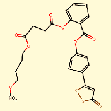 O=C(CCC(=O)Oc1ccccc1C(=O)Oc1ccc(-c2cc(=S)ss2)cc1)OCCCCO[N+](=O)[O-]